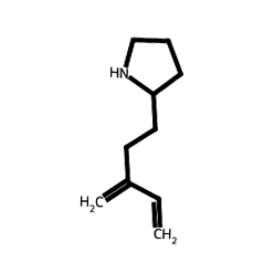 C=CC(=C)CCC1CCCN1